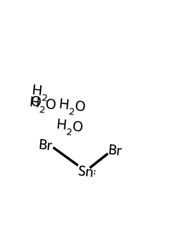 O.O.O.O.[Br][Sn][Br]